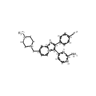 CN1CCN(Cc2ccn3c(-c4ccnc(N)n4)c(-c4ccc(F)cc4)nc3c2)CC1